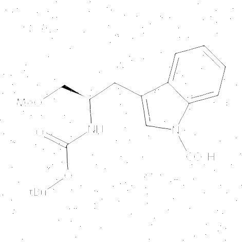 COC[C@@H](Cc1cn(C(=O)O)c2ccccc12)NC(=O)OC(C)(C)C